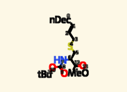 CCCCCCCCCCC=CCSC[C@H](NC(=O)OC(C)(C)C)C(=O)OC